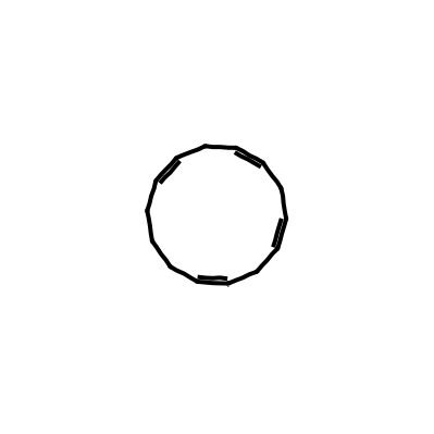 [C]1=CCCCC=CCC=CCC=CC1